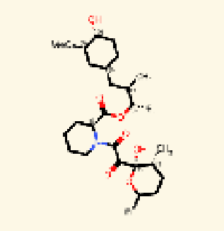 CC[C@H](OC(=O)[C@@H]1CCCCN1C(=O)C(=O)[C@]1(O)OC(C(C)C)CC[C@H]1C)[C@H](C)C[C@@H]1CC[C@@H](O)[C@H](OC)C1